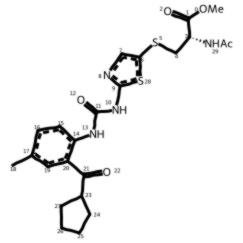 COC(=O)[C@@H](CSc1cnc(NC(=O)Nc2ccc(C)cc2C(=O)C2CCCC2)s1)NC(C)=O